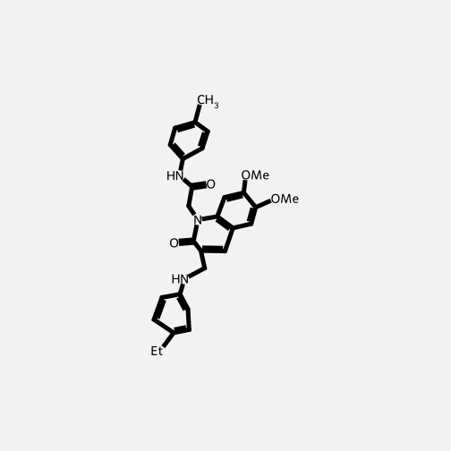 CCc1ccc(NCc2cc3cc(OC)c(OC)cc3n(CC(=O)Nc3ccc(C)cc3)c2=O)cc1